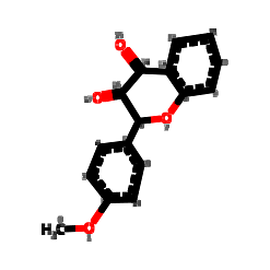 COc1ccc(C2Oc3ccccc3C(=O)C2=O)cc1